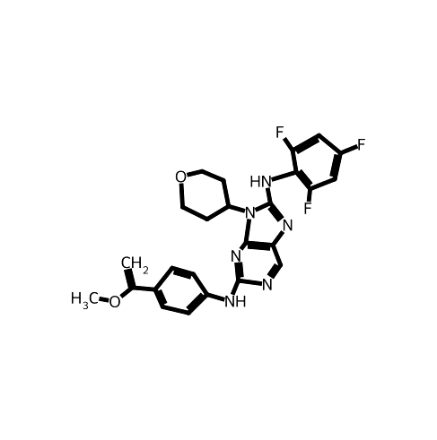 C=C(OC)c1ccc(Nc2ncc3nc(Nc4c(F)cc(F)cc4F)n(C4CCOCC4)c3n2)cc1